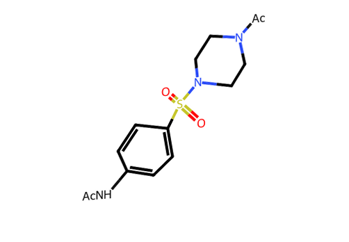 CC(=O)Nc1ccc(S(=O)(=O)N2CCN(C(C)=O)CC2)cc1